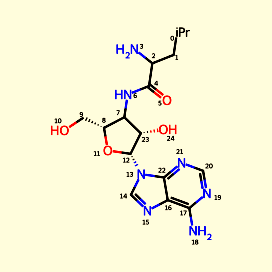 CC(C)CC(N)C(=O)NC1[C@@H](CO)O[C@@H](n2cnc3c(N)ncnc32)[C@H]1O